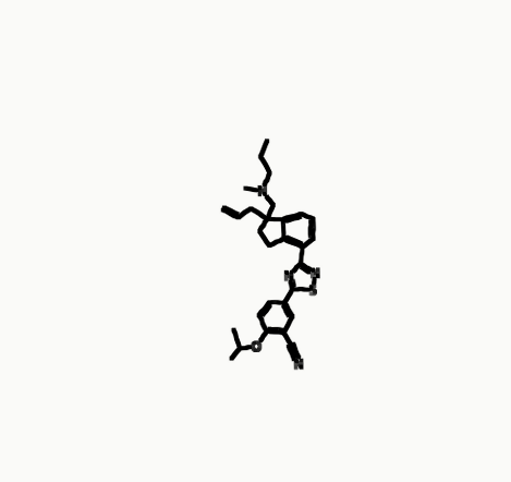 C=CCC1(CN(C)CCC)CCc2c(-c3nsc(-c4ccc(OC(C)C)c(C#N)c4)n3)cccc21